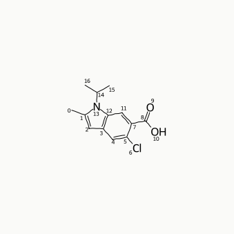 Cc1cc2cc(Cl)c(C(=O)O)cc2n1C(C)C